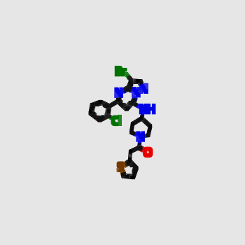 O=C(Cc1cccs1)N1CCC(Nc2cc(-c3ccccc3Cl)nc3c(Br)cnn23)CC1